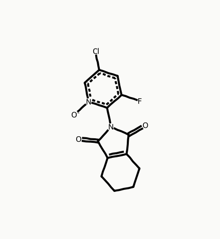 O=C1C2=C(CCCC2)C(=O)N1c1c(F)cc(Cl)c[n+]1[O-]